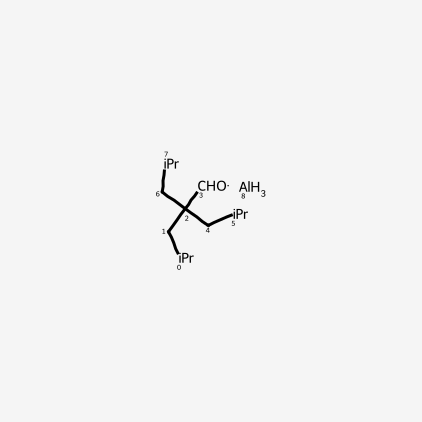 CC(C)CC([C]=O)(CC(C)C)CC(C)C.[AlH3]